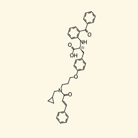 O=C(c1ccccc1)c1ccccc1N[C@@H](Cc1ccc(OCCCN(CC2CC2)C(=O)C=Cc2ccccc2)cc1)C(=O)O